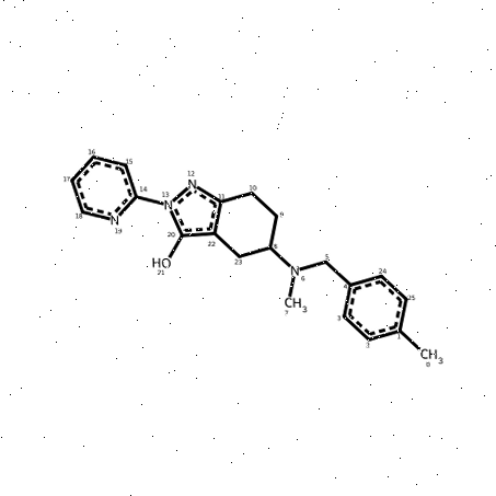 Cc1ccc(CN(C)C2CCc3nn(-c4ccccn4)c(O)c3C2)cc1